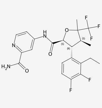 CCc1c([C@@H]2[C@@H](C(=O)Nc3ccnc(C(N)=O)c3)OC(C)(C(F)(F)F)[C@H]2C)ccc(F)c1F